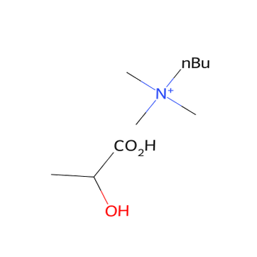 CC(O)C(=O)O.CCCC[N+](C)(C)C